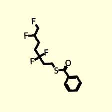 O=C(SCCC(F)(F)CCC(F)CF)c1ccccc1